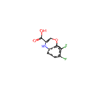 O=C(O)C1=COc2c(ccc(F)c2F)N1